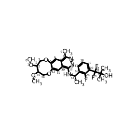 COC1COc2cc3c(C)nnc(N[C@H](C)c4cccc(C(F)(F)C(C)(C)O)c4F)c3cc2OCC1OC